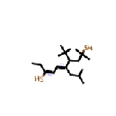 CC/C(S)=C\C=C(/CC(C)C)C(CC(C)(C)S)C(C)(C)C